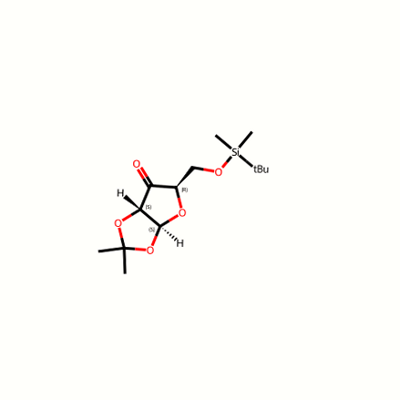 CC1(C)O[C@@H]2O[C@H](CO[Si](C)(C)C(C)(C)C)C(=O)[C@H]2O1